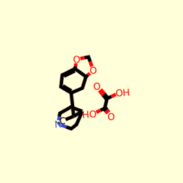 C1=C2OCOC2CC(C2CN3CCC2CC3)=C1.O=C(O)C(=O)O